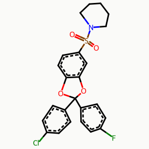 O=S(=O)(c1ccc2c(c1)OC(c1ccc(F)cc1)(c1ccc(Cl)cc1)O2)N1CCCCC1